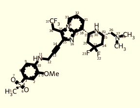 COc1cc(S(C)(=O)=O)ccc1NCC#Cc1nc2c([C@H]3CC(F)(F)C[C@@H](CN(C)C)N3)cccn2c1CC(F)(F)F